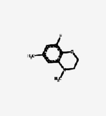 Cc1cc(F)c2c(c1)N(C)CCO2